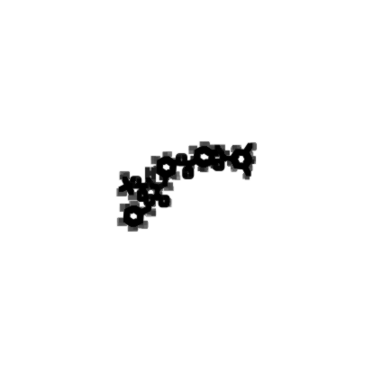 Cc1cc(C)cc(-c2nc3ccc(C(=O)Oc4cccc(C[C@H](NC(=O)OC(C)(C)C)C(=O)OCc5ccccc5)c4)cc3o2)c1